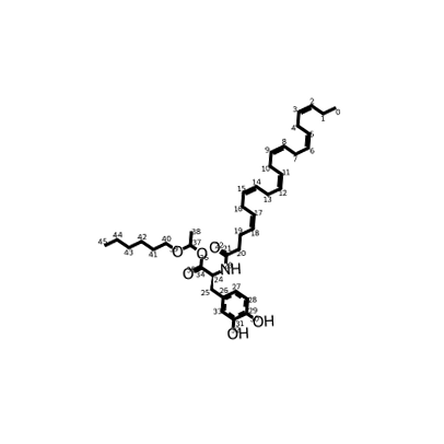 CC/C=C\C/C=C\C/C=C\C/C=C\C/C=C\C/C=C\CCC(=O)N[C@@H](Cc1ccc(O)c(O)c1)C(=O)OC(C)OCCCCCC